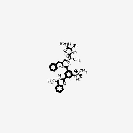 CCNC(=O)[C@@H](NC(=O)[C@H](C)NC[C@H](Cc1ccccc1)NC(=O)c1cc(C(=O)N[C@H](C)c2ccccc2)cc(N(CC)S(C)(=O)=O)c1)C(C)C